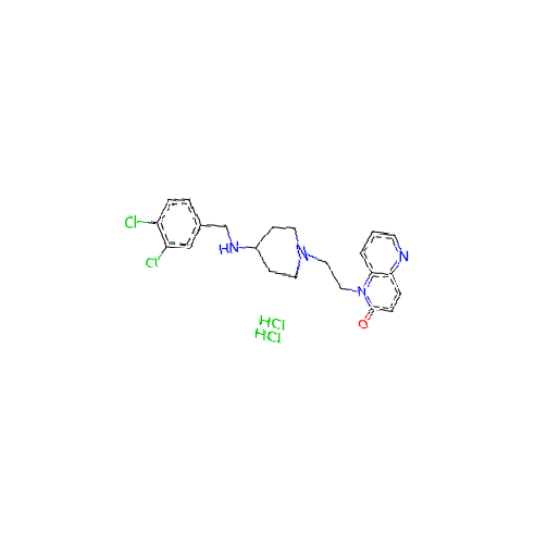 Cl.Cl.O=c1ccc2ncccc2n1CCN1CCC(NCc2ccc(Cl)c(Cl)c2)CC1